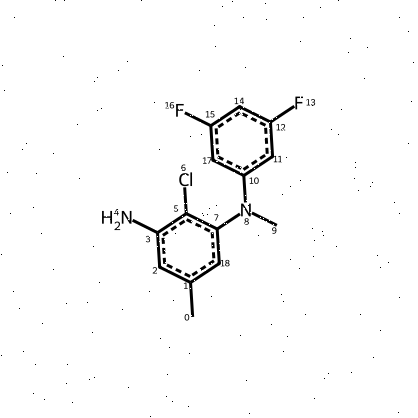 Cc1cc(N)c(Cl)c(N(C)c2cc(F)cc(F)c2)c1